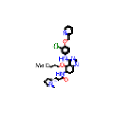 COCCCOc1c(NC(=O)/C=C/[C@H]2CCCN2C)ccc2ncnc(Nc3ccc(OCc4ccccn4)c(Cl)c3)c12